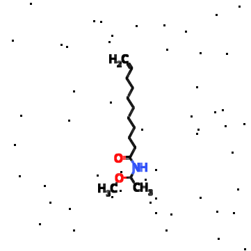 C=CCCCCCCCCC(=O)NC(C)OC